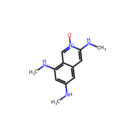 CNc1cc(NC)c2c[n+]([O-])c(NC)cc2c1